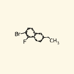 CCc1ccc2c(F)c(Br)ccc2c1